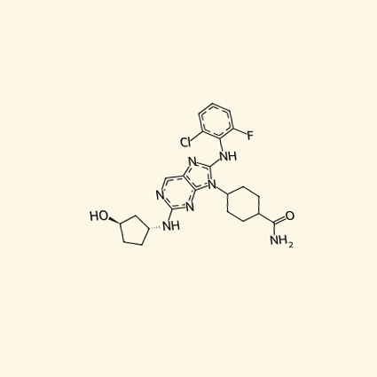 NC(=O)C1CCC(n2c(Nc3c(F)cccc3Cl)nc3cnc(N[C@@H]4CC[C@@H](O)C4)nc32)CC1